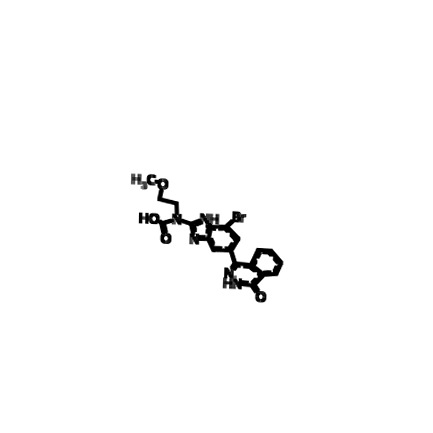 COCCN(C(=O)O)c1nc2cc(-c3n[nH]c(=O)c4ccccc34)cc(Br)c2[nH]1